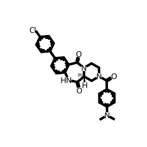 CN(C)c1ccc(C(=O)N2CCN3C(=O)c4cc(-c5ccc(Cl)cc5)ccc4NC(=O)[C@H]3C2)cc1